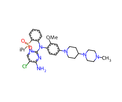 COc1cc(N2CCC(N3CCN(C)CC3)CC2)ccc1N(c1ncc(Cl)c(N)n1)c1ccccc1S(=O)(=O)C(C)C